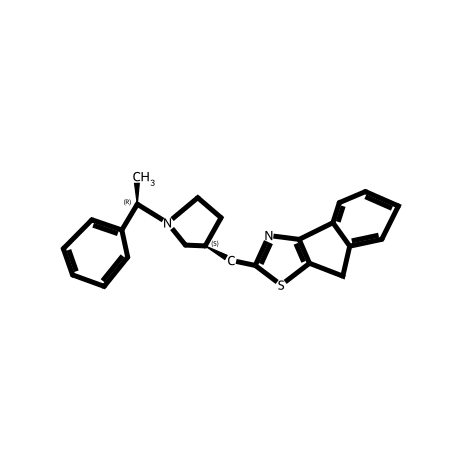 C[C@H](c1ccccc1)N1CC[C@@H](Cc2nc3c(s2)Cc2ccccc2-3)C1